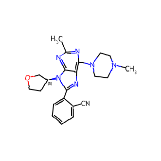 Cc1nc(N2CCN(C)CC2)c2nc(-c3ccccc3C#N)n([C@H]3CCOC3)c2n1